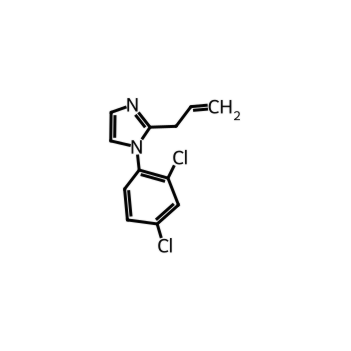 C=CCc1nccn1-c1ccc(Cl)cc1Cl